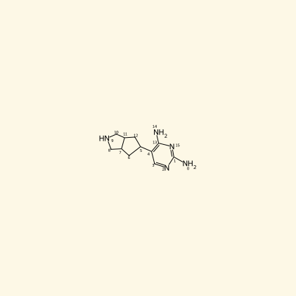 Nc1ncc(C2CC3CNCC3C2)c(N)n1